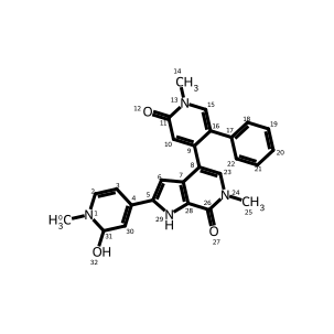 CN1C=CC(c2cc3c(-c4cc(=O)n(C)cc4-c4ccccc4)cn(C)c(=O)c3[nH]2)=CC1O